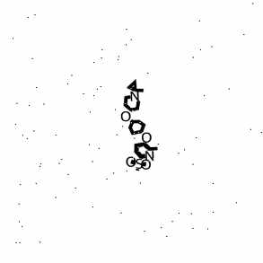 Cc1nc(S(C)(=O)=O)ccc1OC1CCC(OC2CCN(C3(C)CC3)CC2)CC1